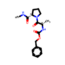 CCCNC(=O)[C@@H]1CCCN1C(=O)[C@H](C)NC(=O)OCc1ccccc1